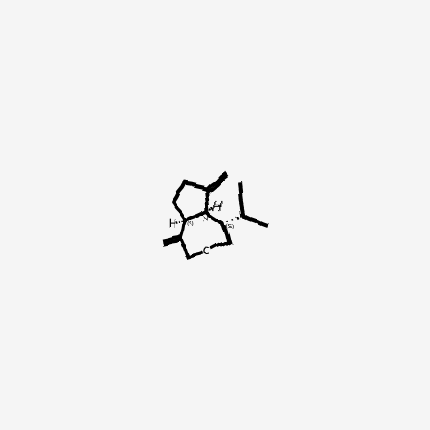 C=C1CC[C@@H]2C(=C)CCC[C@@H](C(C)C)[C@H]12